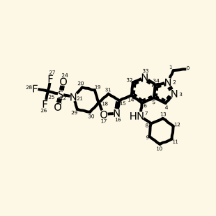 CCn1ncc2c(NC3CCCCC3)c(C3=NOC4(CCN(S(=O)(=O)C(F)(F)F)CC4)C3)cnc21